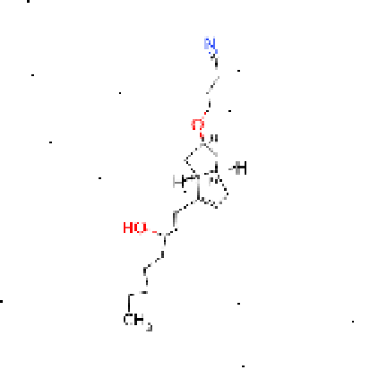 CCCCCC(O)C=CC1=CC[C@@H]2C[C@H](OCCCC#N)C[C@@H]12